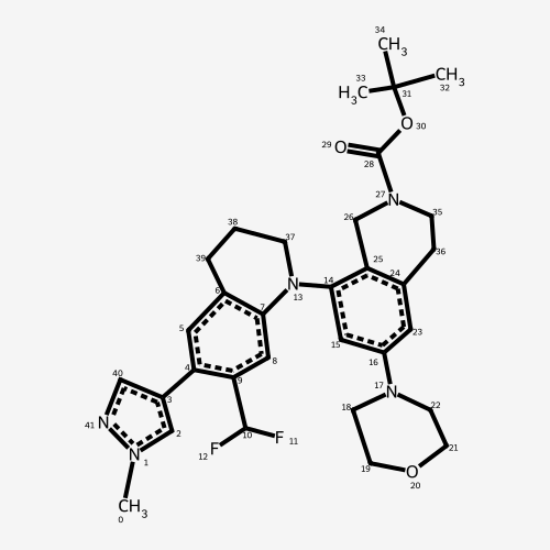 Cn1cc(-c2cc3c(cc2C(F)F)N(c2cc(N4CCOCC4)cc4c2CN(C(=O)OC(C)(C)C)CC4)CCC3)cn1